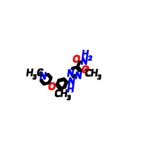 COc1nc(Nc2ccc(OC3CCN(C)CC3)c(C)c2)ncc1C(N)=O